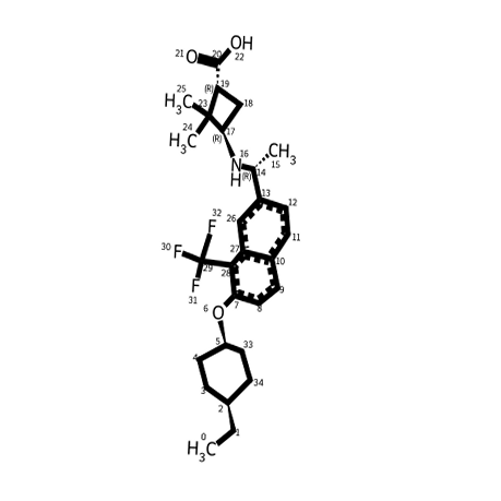 CC[C@H]1CC[C@@H](Oc2ccc3ccc([C@@H](C)N[C@@H]4C[C@@H](C(=O)O)C4(C)C)cc3c2C(F)(F)F)CC1